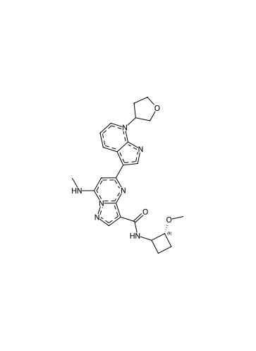 CNc1cc(-c2cnc3n(C4CCOC4)cccc2-3)nc2c(C(=O)NC3CC[C@H]3OC)cnn12